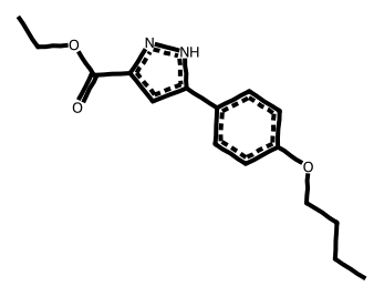 CCCCOc1ccc(-c2cc(C(=O)OCC)n[nH]2)cc1